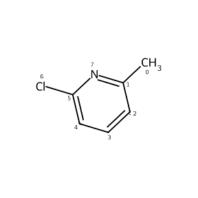 Cc1[c]ccc(Cl)n1